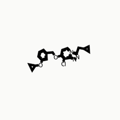 Clc1c(OCc2cccc(OC3CC3)c2)ccn2c(CC3CC3)nnc12